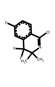 CC1(C)N=C(Cl)c2ccc(F)cc2C1(F)F